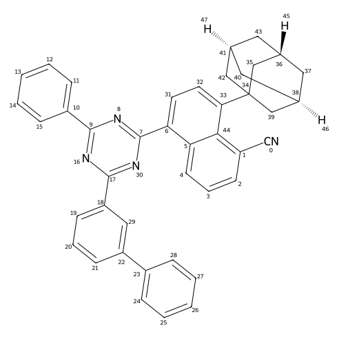 N#Cc1cccc2c(-c3nc(-c4ccccc4)nc(-c4cccc(-c5ccccc5)c4)n3)ccc(C34C[C@H]5C[C@@H](C3)C[C@@H](C4)C5)c12